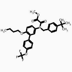 CCCCOc1ccc(N(Cc2ccc(C(C)(C)C)cc2)C(=O)C(=O)OC)cc1-c1ccc(OC(F)(F)F)cc1